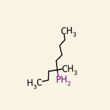 CCCCCC(C)(P)CCC